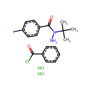 CC(C)(C)N(N)C(=O)c1ccc(I)cc1.Cl.Cl.O=C(Cl)c1ccccc1